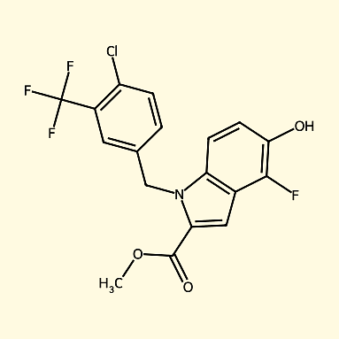 COC(=O)c1cc2c(F)c(O)ccc2n1Cc1ccc(Cl)c(C(F)(F)F)c1